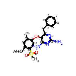 COc1cc(C(C)C)c(Oc2c(N)nc(N)nc2Cc2ccccc2)cc1S(C)(=O)=O